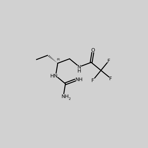 CC[C@H](CNC(=O)C(F)(F)F)NC(=N)N